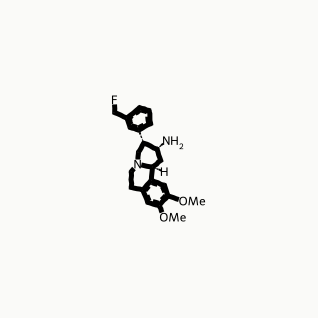 COc1cc2c(cc1OC)[C@@H]1C[C@@H](N)[C@@H](c3cccc(CF)c3)CN1CC2